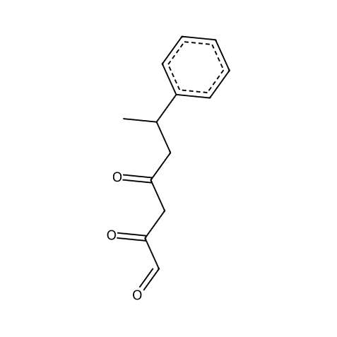 CC(CC(=O)CC(=O)C=O)c1ccccc1